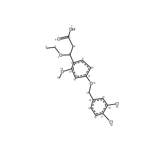 CCOC(CC(=O)O)c1ccc(OCc2ccc(Cl)c(Cl)c2)cc1OC